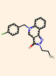 CCCn1nc2c3ccccc3n(Cc3ccc(F)cc3)cc-2c1=O